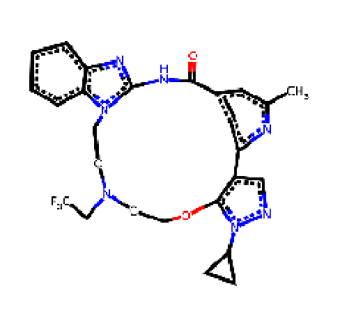 Cc1cc2cc(n1)-c1cnn(C3CC3)c1OCCN(CC(F)(F)F)CCn1c(nc3ccccc31)NC2=O